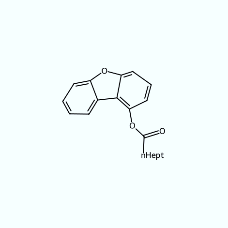 CCCCCCCC(=O)Oc1cccc2oc3ccccc3c12